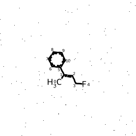 CC(=CCF)c1ccccc1